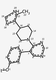 CCOc1cccc(-c2cncnc2N2CCC(c3nc[nH]c3C)CC2)c1